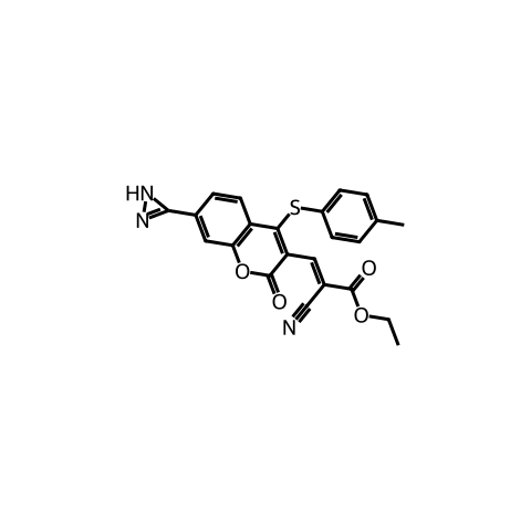 CCOC(=O)C(C#N)=Cc1c(Sc2ccc(C)cc2)c2ccc(C3=NN3)cc2oc1=O